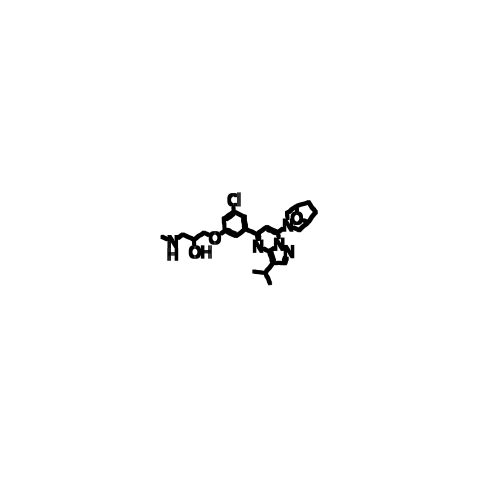 CNCC(O)COc1cc(Cl)cc(-c2cc(N3CC4CCC(C3)O4)n3ncc(C(C)C)c3n2)c1